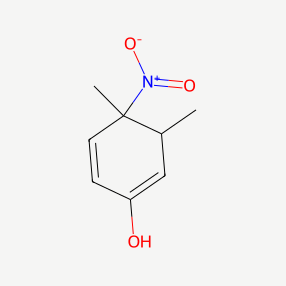 CC1C=C(O)C=CC1(C)[N+](=O)[O-]